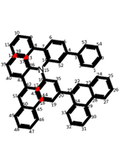 c1ccc(-c2ccc(-c3ccccc3)c(N(c3cccc(-c4cc5ccccc5c5ccccc45)c3)c3ccccc3-c3ccc4ccccc4c3)c2)cc1